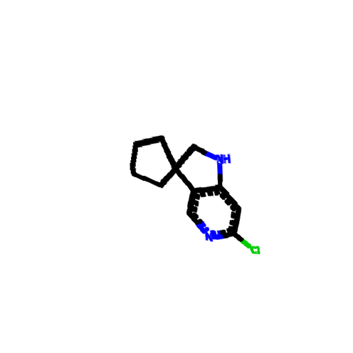 Clc1cc2c(cn1)C1(CCCC1)CN2